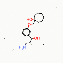 C[C@H](CN)C(O)c1cccc(OCC2(O)CCCCCC2)c1